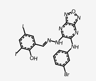 Oc1c(I)cc(I)cc1C=NNc1nc2nonc2nc1Nc1cccc(Br)c1